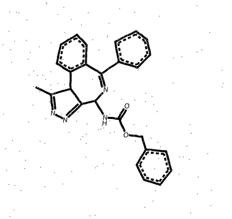 CC1=NN=C2C(NC(=O)OCc3ccccc3)N=C(c3ccccc3)c3ccccc3C12